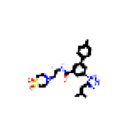 Cc1ccc(-c2cc(C(=O)N[C@@H](C)CN3CCS(=O)(=O)CC3)cc(-n3nnnc3CC(C)C)c2)cc1